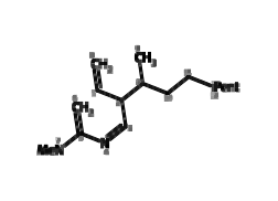 C=CC(/C=N\C(=C)NC)C(C)CCC(C)CCC